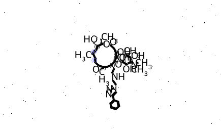 CC[C@H]1OC(=O)C[C@@H](O)[C@H](C)[C@@H](O[C@@H]2O[C@H](C)C(O)C(N(C)C)C2O)[C@@H](CCNCCn2cc(-c3ccccc3)nn2)C[C@@H](C)C(=O)/C=C/C(C)=C/[C@@H]1CO